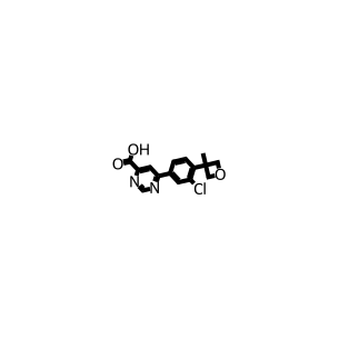 CC1(c2ccc(-c3cc(C(=O)O)ncn3)cc2Cl)COC1